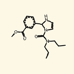 CCCN(CCC)C(=O)N1C=CNC1c1cccc(C(=O)OC)c1